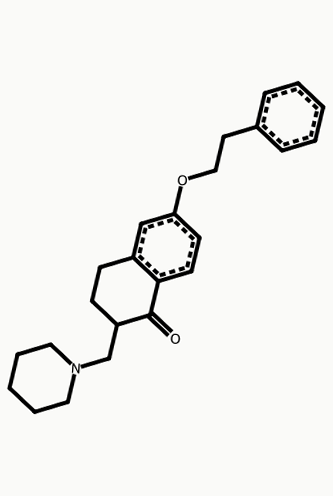 O=C1c2ccc(OCCc3ccccc3)cc2CCC1CN1CCCCC1